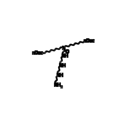 CCCCCCCCCCCCCCCCCCN(CCCCCCCCCCCCCCCCCC)C(=O)CNCCCNCCCNCCCN